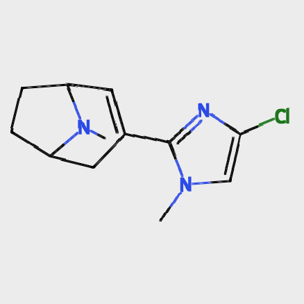 CN1C2C=C(c3nc(Cl)cn3C)CC1CC2